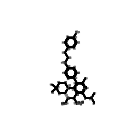 Cc1nc(CN(C)C)c(C(OC(C)(C)C)C(=O)O)c(N2CCC(C)(C)CC2)c1-c1ccc(OCCc2ccc(F)cc2)cc1